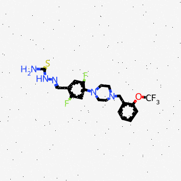 NC(=S)N/N=C/c1cc(F)c(N2CCN(Cc3ccccc3OC(F)(F)F)CC2)cc1F